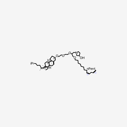 CCCCC/C=C\C/C=C\CCCCCCCCOCC(CN1CCC(O)C1)OCCOCCO[C@H]1CC[C@@]2(C)C(=CC[C@H]3[C@@H]4CC[C@H]([C@H](C)CCCC(C)C)[C@@]4(C)CC[C@@H]32)C1